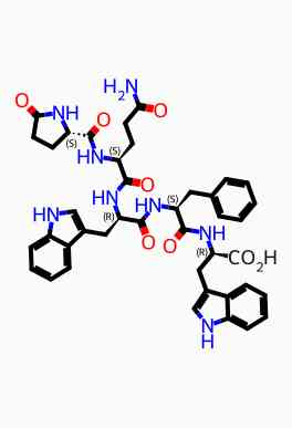 NC(=O)CC[C@H](NC(=O)[C@@H]1CCC(=O)N1)C(=O)N[C@H](Cc1c[nH]c2ccccc12)C(=O)N[C@@H](Cc1ccccc1)C(=O)N[C@H](Cc1c[nH]c2ccccc12)C(=O)O